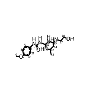 COc1ccc(NC(=O)NC2NC(C)CC(NCCO)N2)cc1